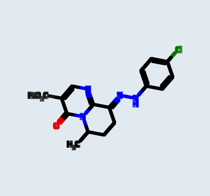 CCOC(=O)c1cnc2n(c1=O)C(C)CCC2=NNc1ccc(Cl)cc1